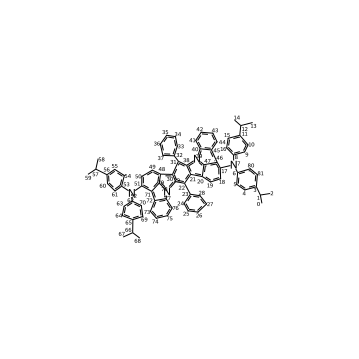 CC(C)c1ccc(N(c2ccc(C(C)C)cc2)c2ccc3c4c(-c5ccccc5)c5c(c(-c6ccccc6)c4n4c6ccccc6c2c34)c2ccc(N(c3ccc(C(C)C)cc3)c3ccc(C(C)C)cc3)c3c4ccccc4n5c23)cc1